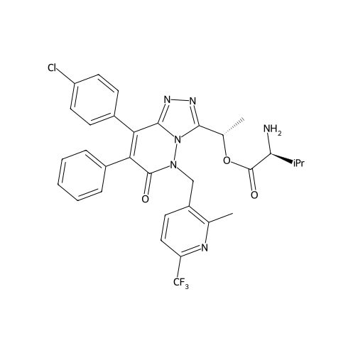 Cc1nc(C(F)(F)F)ccc1Cn1c(=O)c(-c2ccccc2)c(-c2ccc(Cl)cc2)c2nnc([C@H](C)OC(=O)[C@@H](N)C(C)C)n21